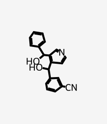 N#Cc1cccc(C(O)c2ccncc2C(O)c2ccccc2)c1